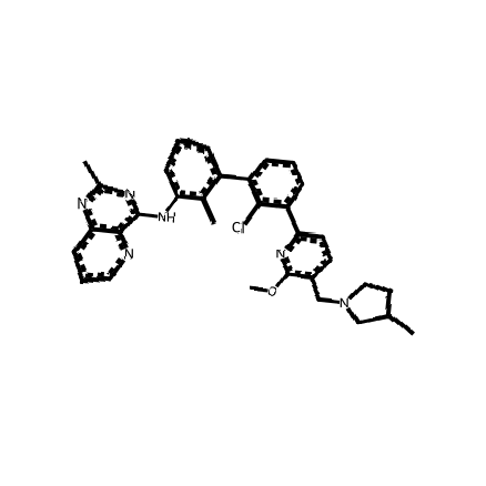 COc1nc(-c2cccc(-c3cccc(Nc4nc(C)nc5cccnc45)c3C)c2Cl)ccc1CN1CCC(C)C1